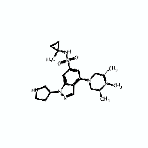 C[C@H]1CN(c2cc(S(=O)(=O)NC3(C)CC3)cc3c2cnn3C2CCNC2)C[C@H](C)N1C